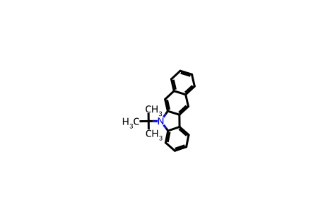 CC(C)(C)n1c2ccccc2c2cc3ccccc3cc21